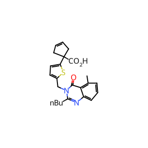 CCCCc1nc2cccc(C)c2c(=O)n1Cc1ccc(C2(C(=O)O)CC=CC2)s1